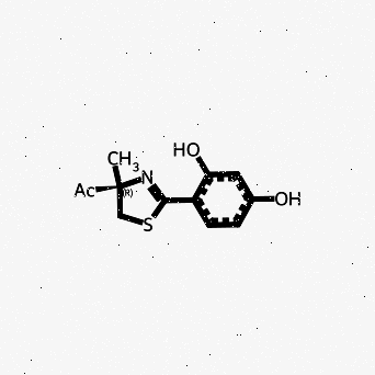 CC(=O)[C@]1(C)CSC(c2ccc(O)cc2O)=N1